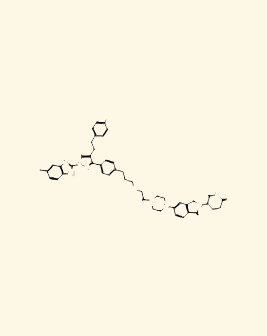 O=C1CCC(N2Cc3cc(N4CCN(C(=O)COCCCc5ccc(-c6nn(-c7nc8cc(Cl)ccc8[nH]7)c(O)c6CCc6ccc(F)cc6)cc5)CC4)ccc3C2=O)C(=O)N1